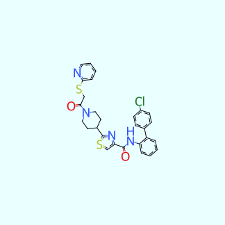 O=C(Nc1ccccc1-c1ccc(Cl)cc1)c1csc(C2CCN(C(=O)CSc3ccccn3)CC2)n1